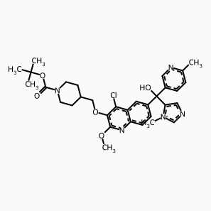 COc1nc2ccc(C(O)(c3ccc(C)nc3)c3cncn3C)cc2c(Cl)c1OCC1CCN(C(=O)OC(C)(C)C)CC1